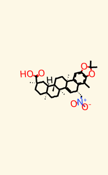 Cc1c2c(cc3c1[C@H](C[N+](=O)[O-])C=C1[C@@]3(C)CC[C@@]3(C)[C@@H]4C[C@](C)(C(=O)O)CC[C@]4(C)CC[C@]13C)OC(C)(C)O2